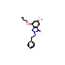 C=CCOc1cc(OC)cc2c1CN(CCc1ccccc1)C2=O